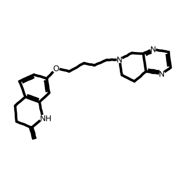 C=C1CCc2ccc(OCCCCN3CCc4nccnc4C3)cc2N1